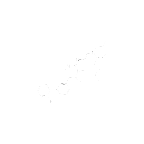 C/C=C(/COCC)N(/C=C/N=C(/N)N(C)C(=O)Cc1cccc(-c2cccnc2F)c1)CCC